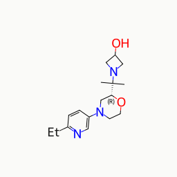 CCc1ccc(N2CCO[C@@H](C(C)(C)N3CC(O)C3)C2)cn1